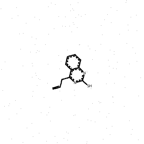 C=CCc1nc(S)nc2ccccc12